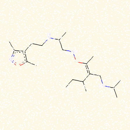 CCC(C)/C(CNC(C)C)=C(/C)ONCC(C)NCCc1c(C)noc1C